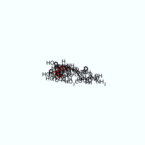 CC[C@H](C)[C@H](NC(=O)CNC(=O)[C@@H](NC(=O)[C@H](C)NC(=O)[C@@H](NC(=O)[C@@H](NC(=O)[C@H](C)NC(=O)CNC(=O)[C@@H](NC(=O)[C@H](Cc1c[nH]c2ccccc12)NC(=O)[C@H](CCC(=O)O)NC(=O)[C@H](CC(C)C)NC(=O)CNC(=O)[C@H](CO)NC(=O)CN)[C@@H](C)CC)[C@@H](C)CC)[C@@H](C)O)[C@@H](C)O)C(=O)N[C@H](C(=O)N[C@@H](Cc1ccc(O)cc1)C(=O)N[C@@H](Cc1ccc(O)cc1)C(=O)N[C@@H](C)C(=O)N[C@@H](CO)C(=O)O)[C@@H](C)O